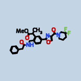 COC(=O)C(C)c1cc(-c2nc(C(=O)N3CCCC(F)(F)C3)co2)ccc1CNC(=O)Cc1ccccc1